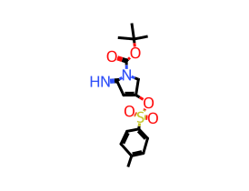 Cc1ccc(S(=O)(=O)OC2=CC(=N)N(C(=O)OC(C)(C)C)C2)cc1